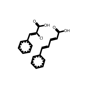 O=C(O)C(Cl)=Cc1ccccc1.O=C(O)C=CC=Cc1ccccc1